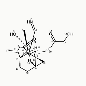 C[C@H]1[C@H](O)[C@](C)(C=N)C[C@@H](OC(=O)CO)[C@]23C[C@@H]2CC[C@]12CCC(=O)[C@H]23